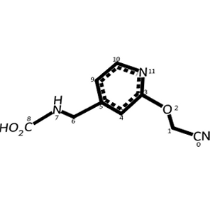 N#CCOc1cc(CNC(=O)O)ccn1